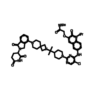 CNC(=O)COc1cc2cc(Nc3nc(N4CCC(C(C)(C)N5CC6(CCN(c7cccc8c7CN(C7CCC(=O)NC7=O)C8=O)CC6)C5)CC4)ncc3Cl)ccc2n(C(C)C)c1=O